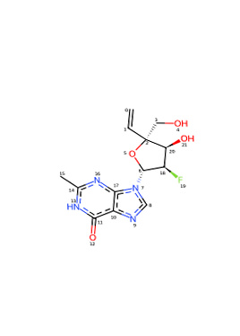 C=C[C@]1(CO)O[C@@H](n2cnc3c(=O)[nH]c(C)nc32)[C@H](F)[C@@H]1O